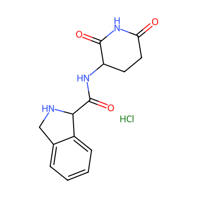 Cl.O=C1CCC(NC(=O)C2NCc3ccccc32)C(=O)N1